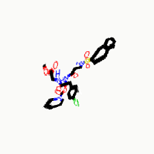 COC(=O)CNC(=O)C(Cc1ccc(Cl)cc1)(NC(=O)CCNS(=O)(=O)c1ccc2ccccc2c1)OC(=O)N1CCCCC1